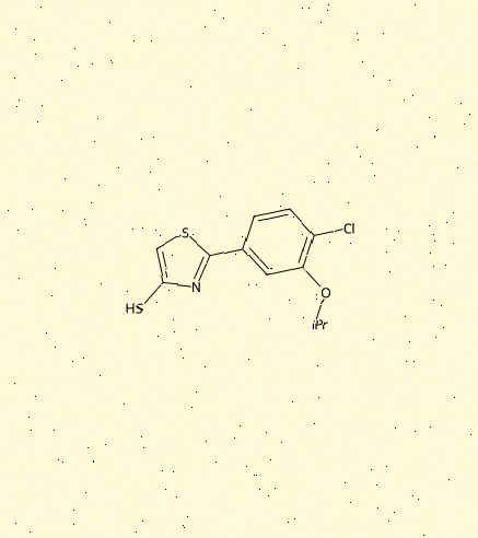 CC(C)Oc1cc(-c2nc(S)cs2)ccc1Cl